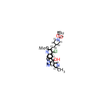 COc1nc2ccc(C(O)(c3ccc(C)nc3)c3cncn3C)cc2c(Cl)c1CCC1CCN(C(=O)OC(C)(C)C)CC1